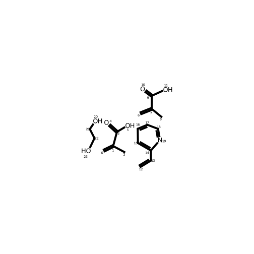 C=C(C)C(=O)O.C=C(C)C(=O)O.C=Cc1ccccn1.OCCO